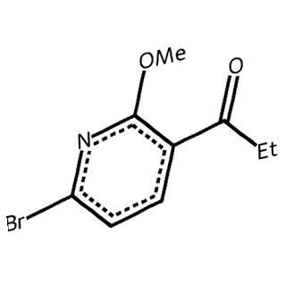 CCC(=O)c1ccc(Br)nc1OC